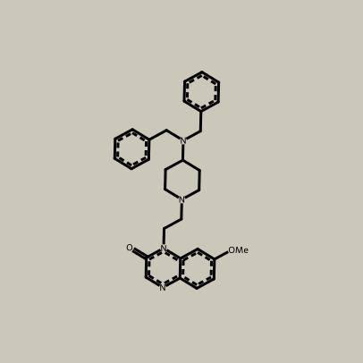 COc1ccc2ncc(=O)n(CCN3CCC(N(Cc4ccccc4)Cc4ccccc4)CC3)c2c1